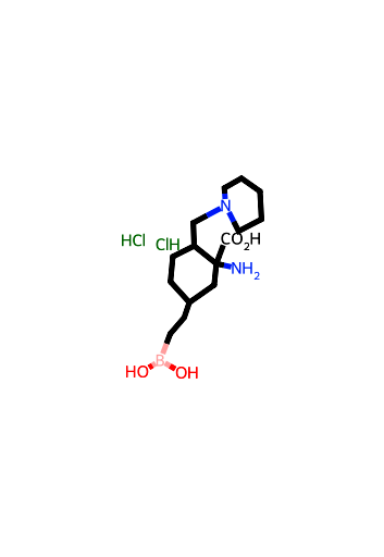 Cl.Cl.NC1(C(=O)O)CC(CCB(O)O)CCC1CN1CCCCC1